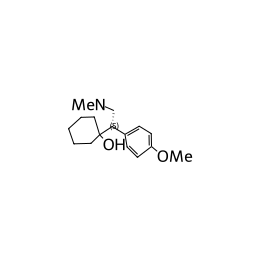 CNC[C@H](c1ccc(OC)cc1)C1(O)CCCCC1